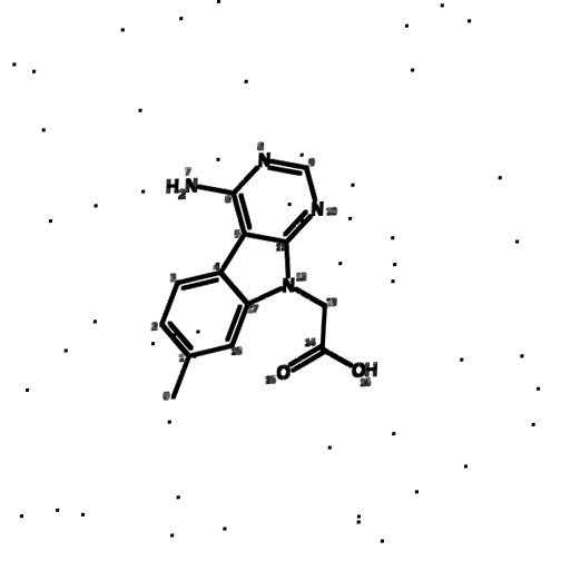 Cc1ccc2c3c(N)ncnc3n(CC(=O)O)c2c1